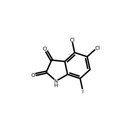 O=C1Nc2c(I)cc(Cl)c(Cl)c2C1=O